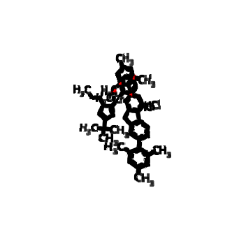 Cl.Cl.[CH2]=[Zr]([CH3])([C]1=CC(C(C)(C)C)=CC1CCC)([c]1ccccc1)[c]1c(-c2c(C)cc(C)cc2C)ccc2c1Cc1cc(-c3c(C)cc(C)cc3C)ccc1-2